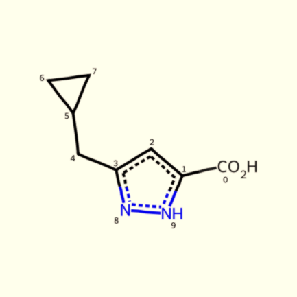 O=C(O)c1cc(CC2CC2)n[nH]1